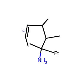 C/C=C\C(C)C(C)C(C)(N)CC